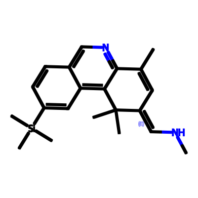 CN/C=C1\C=C(C)c2ncc3ccc([Si](C)(C)C)cc3c2C1(C)C